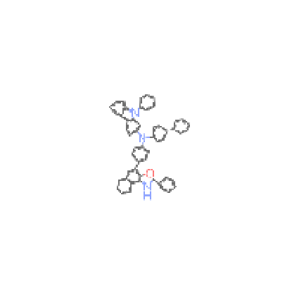 c1ccc(-c2ccc(N(c3ccc(-c4cc5ccccc5c5c4OC(c4ccccc4)N5)cc3)c3ccc4c5ccccc5n(-c5ccccc5)c4c3)cc2)cc1